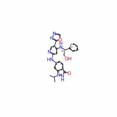 CC(C)n1[nH]c(=O)c2ccc(Nc3cc(N[C@H](CO)c4ccccc4)c(-c4nnco4)cn3)cc21